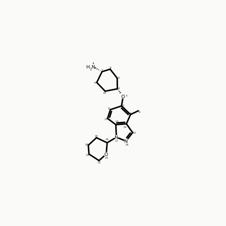 Cc1c(O[C@H]2CC[C@@H](N)CC2)ccc2c1cnn2C1CCCCO1